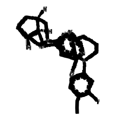 Cc1ccc(N2CCCn3nc(N[C@@H]4[C@@H]5CC[C@H]4CN(c4cc(Cl)ncn4)C5)nc32)cc1F